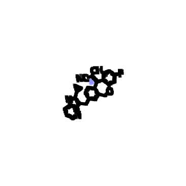 C/C(C#N)=C1/c2ccc(Cc3c(C4CC4)nc4cccnn34)cc2COc2cc(F)ccc21